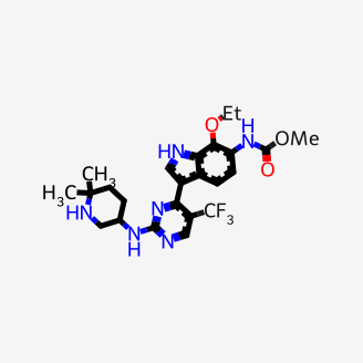 CCOc1c(NC(=O)OC)ccc2c(-c3nc(NC4CCC(C)(C)NC4)ncc3C(F)(F)F)c[nH]c12